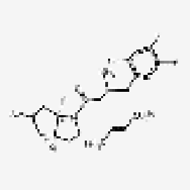 CC(=O)N1C[C@@H]2CCN(C(=O)CC(N)Cc3cc(F)c(F)cc3F)[C@@H]2C1.O=C(O)C=CC(=O)O